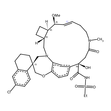 CCS(=O)(=O)NC(=O)[C@@]1(O)CC(=O)N(C)CC/C=C/[C@H](OC)[C@@H]2CC[C@H]2CN2C[C@@]3(CCCc4cc(Cl)ccc43)COc3ccc1cc32